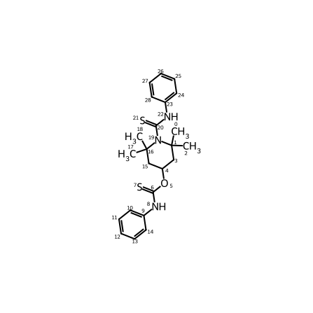 CC1(C)CC(OC(=S)Nc2ccccc2)CC(C)(C)N1C(=S)Nc1ccccc1